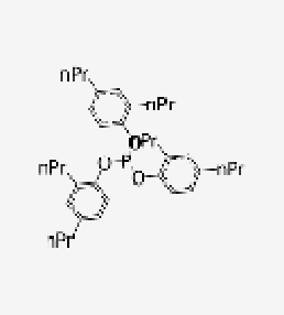 CCCc1ccc(OP(Oc2ccc(CCC)cc2CCC)Oc2ccc(CCC)cc2CCC)c(CCC)c1